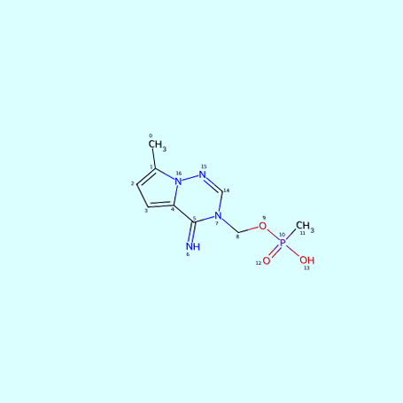 Cc1ccc2c(=N)n(COP(C)(=O)O)cnn12